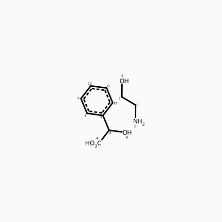 NCCO.O=C(O)C(O)c1ccccc1